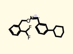 FC(F)c1ccccc1CO/N=[C]\c1cccc(C2CCCCC2)c1